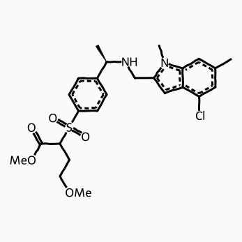 COCCC(C(=O)OC)S(=O)(=O)c1ccc([C@@H](C)NCc2cc3c(Cl)cc(C)cc3n2C)cc1